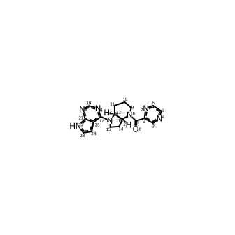 O=C(c1cnccn1)N1CCC[C@@H]2[C@H]1CCN2c1ncnc2[nH]ccc12